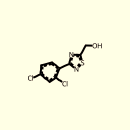 OCc1nc(-c2ccc(Cl)cc2Cl)ns1